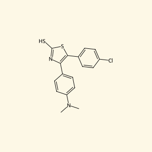 CN(C)c1ccc(-c2nc(S)sc2-c2ccc(Cl)cc2)cc1